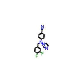 N#Cc1ccc(N(Cc2ccc(F)c(F)c2)n2ccnc2)cc1